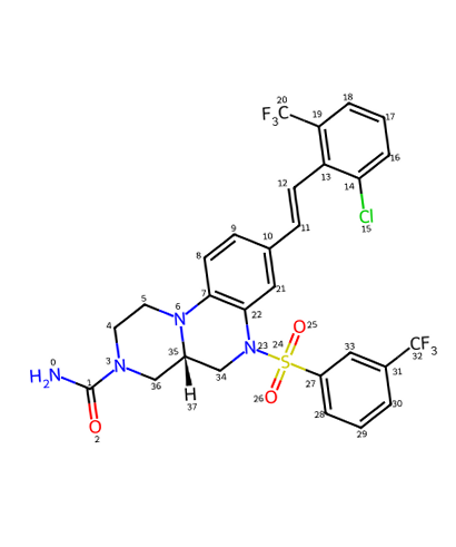 NC(=O)N1CCN2c3ccc(/C=C/c4c(Cl)cccc4C(F)(F)F)cc3N(S(=O)(=O)c3cccc(C(F)(F)F)c3)C[C@@H]2C1